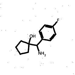 NC(c1ccc(F)cc1)C1(O)CCCC1